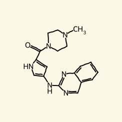 CN1CCN(C(=O)c2cc(Nc3ncc4ccccc4n3)c[nH]2)CC1